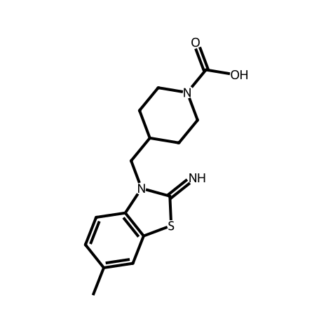 Cc1ccc2c(c1)sc(=N)n2CC1CCN(C(=O)O)CC1